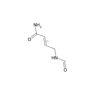 NC(=O)/C=C/CN[C]=O